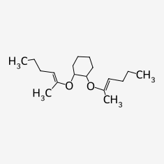 CCCC=C(C)OC1CCCCC1OC(C)=CCCC